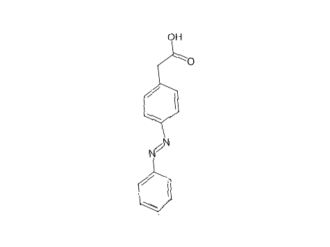 O=C(O)Cc1ccc(N=Nc2cc[c]cc2)cc1